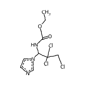 CCOC(=O)NC(n1ccnc1)C(Cl)(Cl)CCl